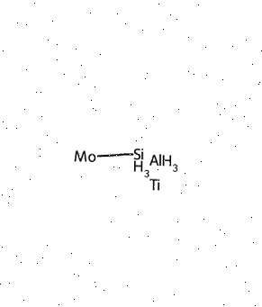 [AlH3].[SiH3][Mo].[Ti]